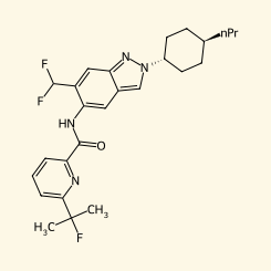 CCC[C@H]1CC[C@H](n2cc3cc(NC(=O)c4cccc(C(C)(C)F)n4)c(C(F)F)cc3n2)CC1